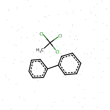 CC(Cl)(Cl)Cl.c1ccc(-c2ccccc2)cc1